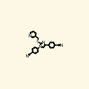 N#Cc1ccc(-c2cn(-c3ccc(C#N)cc3)c(SCc3cccnc3)n2)cc1